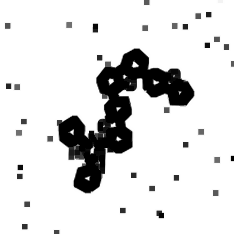 NC(NC(NCc1cccc2c1oc1cc(-c3cccc4c3oc3c(-c5ccc6c(c5)oc5ccccc56)cccc34)ccc12)c1ccccc1)c1ccccc1